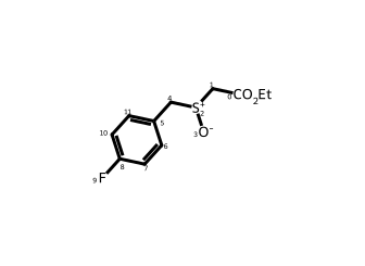 CCOC(=O)C[S+]([O-])Cc1ccc(F)cc1